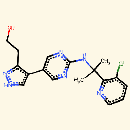 CC(C)(Nc1ncc(-c2c[nH]nc2CCO)cn1)c1ncccc1Cl